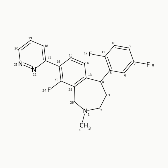 CN1CCC(c2cc(F)ccc2F)c2ccc(-c3cccnn3)c(F)c2C1